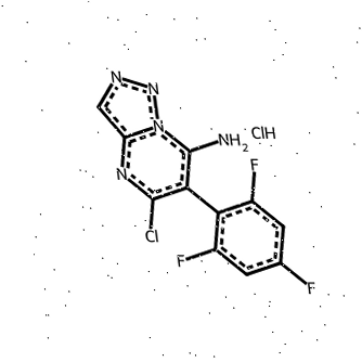 Cl.Nc1c(-c2c(F)cc(F)cc2F)c(Cl)nc2cnnn12